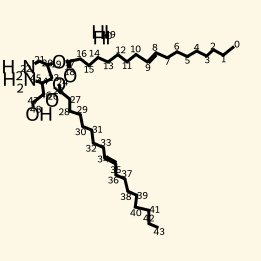 CCCCCCCCC=CCCCCCCCC(=O)OC(CN)C(OC(=O)CCCCCCCC=CCCCCCCCC)C(N)CCO.I.I